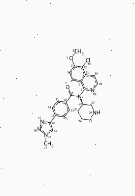 COc1ccc2c(N(C(=O)c3ccc(-c4cn(C)nn4)cc3)[C@@H]3CCCNC3)nccc2c1Cl